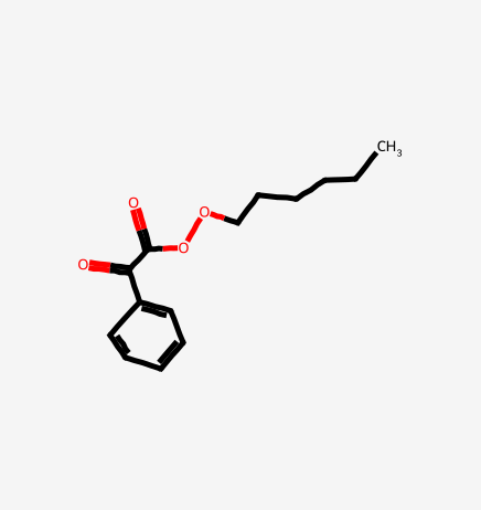 CCCCCCOOC(=O)C(=O)c1ccccc1